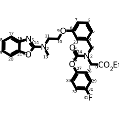 CCOC(=O)CN(Cc1cccc(OCCN(C)c2nc3ccccc3o2)c1)C(=O)Oc1ccc(F)cc1